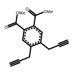 C#CCc1cc(C(=O)OC)c(C(=O)OC)cc1CC#C